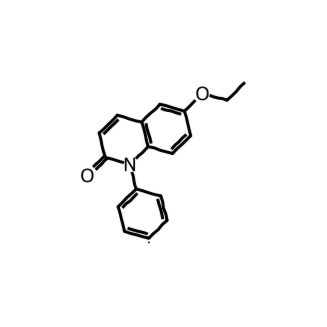 CCOc1ccc2c(ccc(=O)n2-c2cc[c]cc2)c1